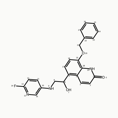 O=c1ccc2c(C(O)CNc3ccc(F)nc3)ccc(OCc3ccccc3)c2[nH]1